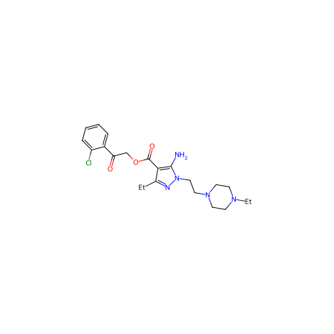 CCc1nn(CCN2CCN(CC)CC2)c(N)c1C(=O)OCC(=O)c1ccccc1Cl